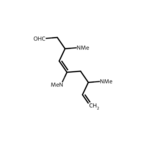 C=CC(CC(=CC(CC=O)NC)NC)NC